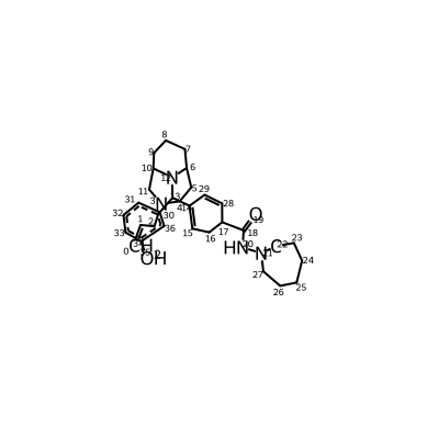 C=CCN1CCC2CCCC(C1)N2C(C1=CCC(C(=O)NN2CCCCCC2)C=C1)c1cccc(O)c1